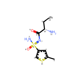 Cc1cc(S(N)(=O)=NC(=O)[C@@H](N)CC(C)C)cs1